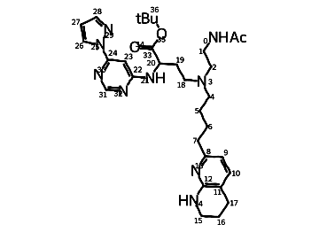 CC(=O)NCCN(CCCCc1ccc2c(n1)NCCC2)CCC(Nc1cc(-n2cccn2)ncn1)C(=O)OC(C)(C)C